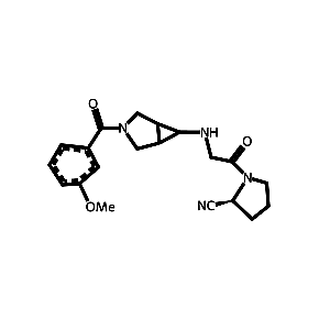 COc1cccc(C(=O)N2CC3C(C2)C3NCC(=O)N2CCC[C@H]2C#N)c1